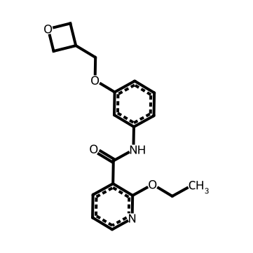 CCOc1ncccc1C(=O)Nc1cccc(OCC2COC2)c1